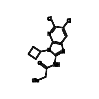 CC(C)(C)CC(=O)Nc1nc2cc(Cl)c(Cl)nc2n1C1CCC1